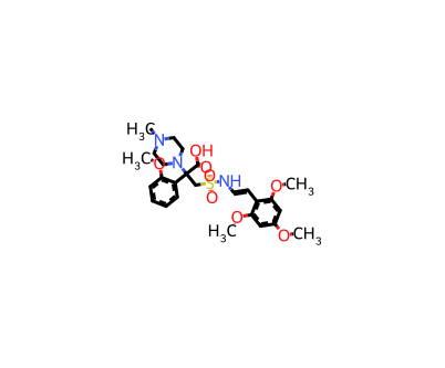 COc1cc(OC)c(C=CNS(=O)(=O)CC(C(=O)O)(c2ccccc2OC)N2CCN(C)CC2)c(OC)c1